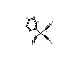 N#CC(C#N)(C#N)c1ccccc1